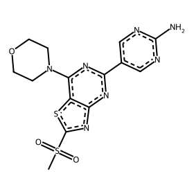 CS(=O)(=O)c1nc2nc(-c3cnc(N)nc3)nc(N3CCOCC3)c2s1